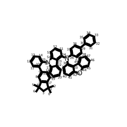 CC1(C)CC(C)(C)c2cc(-c3ccccc3-n3c4ccccc4c4c(N(c5ccc(-c6ccccc6)cc5)c5cccc6oc7ccccc7c56)cccc43)ccc21